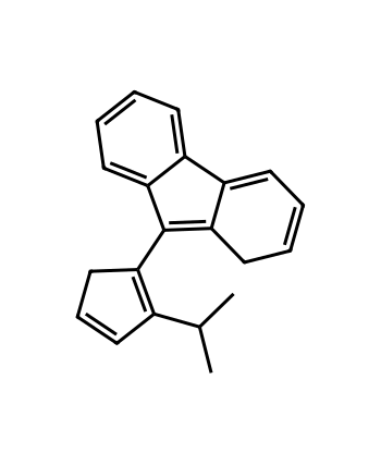 CC(C)C1=C(C2=C3CC=CC=C3c3ccccc32)CC=C1